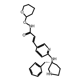 O=C(/C=C/c1ccc(N[C@@]2(Cc3ccccc3)CCCNC2)nc1)NOC1CCCCO1